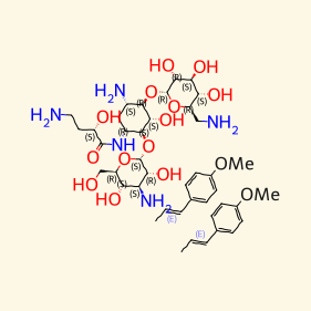 C/C=C/c1ccc(OC)cc1.C/C=C/c1ccc(OC)cc1.NCC[C@H](O)C(=O)N[C@@H]1C[C@H](N)[C@@H](O[C@H]2O[C@H](CN)[C@@H](O)[C@H](O)[C@H]2O)[C@H](O)[C@H]1O[C@H]1O[C@H](CO)[C@@H](O)[C@H](N)[C@H]1O